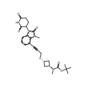 Cn1c(=O)n(C2CCC(=O)NC2=O)c2cccc(C#CCO[C@H]3C[C@H](N(C)C(=O)OC(C)(C)C)C3)c21